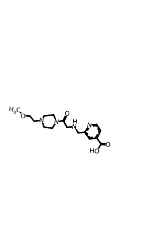 COCCN1CCN(C(=O)CNCc2cc(C(=O)O)ccn2)CC1